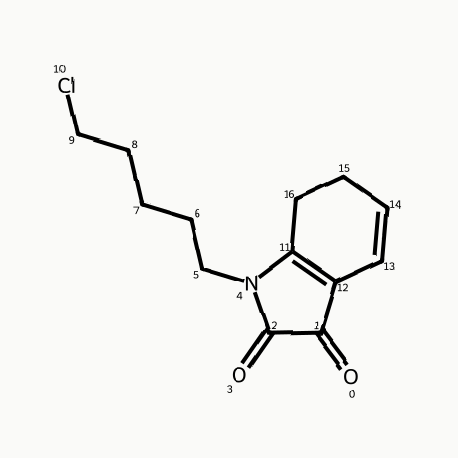 O=C1C(=O)N(CCCCCCl)C2=C1C=CCC2